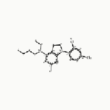 CCCCN(CC)c1nc(C)nc2c1CCN2c1ccc(Cl)cc1Cl